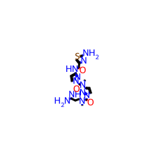 CN(CCC(=N)N)C(=O)n1ccc(N(C)C(=O)n2ccc(NC(=O)c3csc(N)n3)n2)n1